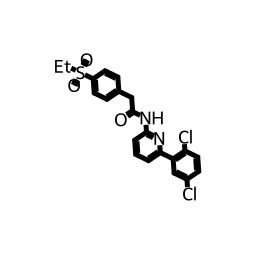 CCS(=O)(=O)c1ccc(CC(=O)Nc2cccc(-c3cc(Cl)ccc3Cl)n2)cc1